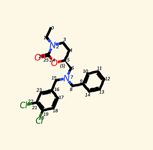 CCN1CC[C@@H](CN(Cc2ccccc2)Cc2ccc(Cl)c(Cl)c2)OC1=O